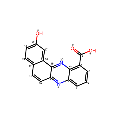 O=C(O)c1cccc2nc3ccc4ccc(O)cc4c3nc12